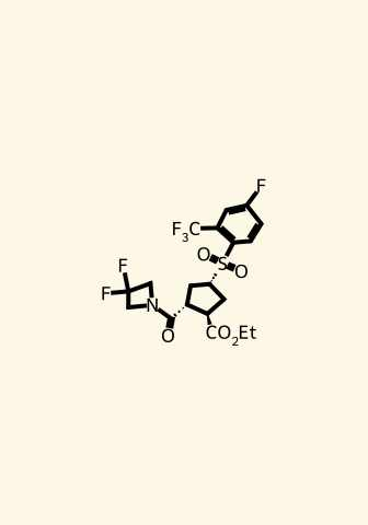 CCOC(=O)[C@@H]1C[C@@H](S(=O)(=O)c2ccc(F)cc2C(F)(F)F)C[C@H]1C(=O)N1CC(F)(F)C1